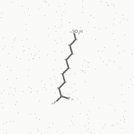 O=S(=O)(O)CCCCCCCCC(F)F